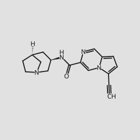 C#Cc1ccc2cnc(C(=O)N[C@@H]3C[C@@H]4CCN(C4)C3)cn12